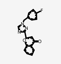 O=c1cc(-c2ncn(Cc3ccc(F)cc3)n2)oc2ccccc12